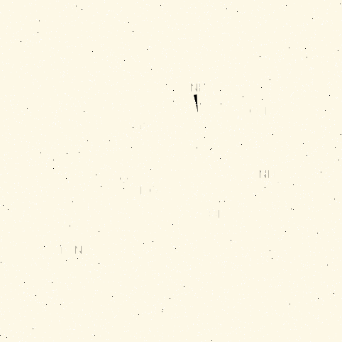 NCC1CCC=C(OC2C(O)[C@@H](O)C(N)C(O)[C@@H]2N)O1